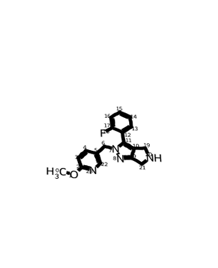 COc1ccc(Cn2nc3c(c2-c2ccccc2F)CNC3)cn1